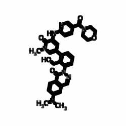 CN(C)c1ccc2c(=O)n(-c3cccc(-c4cc(Nc5ccc(C(=O)N6CCOCC6)cn5)c(=O)n(C)c4)c3CO)ncc2c1